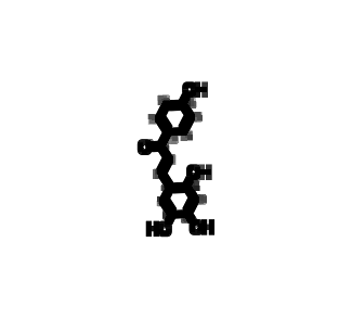 O=C(/C=C/c1cc(O)c(O)cc1O)c1ccc(O)cc1